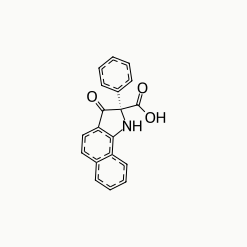 O=C(O)[C@@]1(c2ccccc2)Nc2c(ccc3ccccc23)C1=O